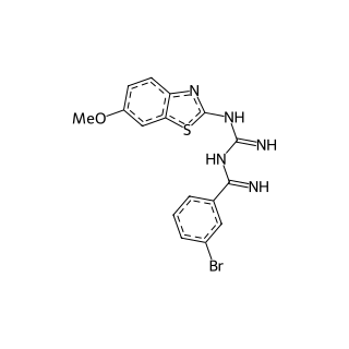 COc1ccc2nc(NC(=N)NC(=N)c3cccc(Br)c3)sc2c1